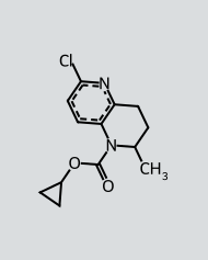 CC1CCc2nc(Cl)ccc2N1C(=O)OC1CC1